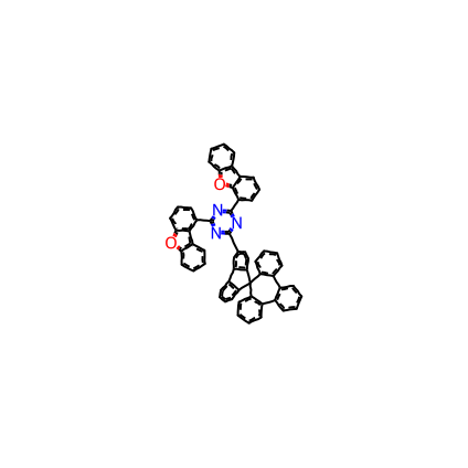 c1ccc2c(c1)-c1ccccc1C1(c3ccccc3-2)c2ccccc2-c2cc(-c3nc(-c4cccc5c4oc4ccccc45)nc(-c4cccc5oc6ccccc6c45)n3)ccc21